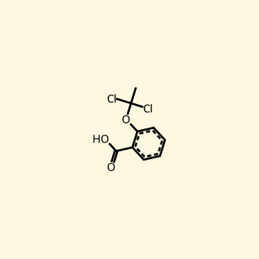 CC(Cl)(Cl)Oc1ccccc1C(=O)O